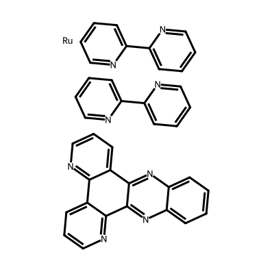 [Ru].c1ccc(-c2ccccn2)nc1.c1ccc(-c2ccccn2)nc1.c1ccc2nc3c4ncccc4c4ncccc4c3nc2c1